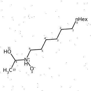 CCCCCCCCCCCC[NH+]([O-])C(C)O